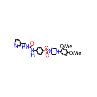 COc1ccc(N2CCN(S(=O)(=O)c3ccc(NC(=O)NCc4cccnc4)cc3)CC2)c(OC)c1